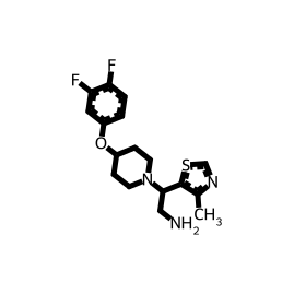 Cc1ncsc1C(CN)N1CCC(Oc2ccc(F)c(F)c2)CC1